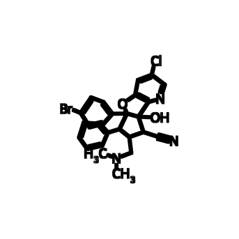 CN(C)CC1C(C#N)C2(O)c3ncc(Cl)cc3OC2(c2ccc(Br)cc2)C1c1ccccc1